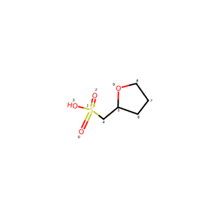 O=S(=O)(O)CC1CCCO1